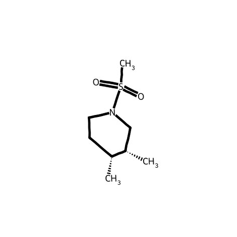 C[C@@H]1CCN(S(C)(=O)=O)C[C@@H]1C